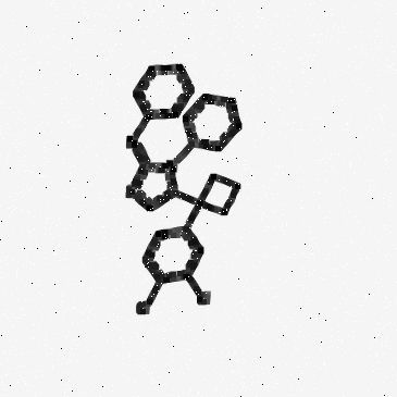 Clc1ccc(C2(c3cs/c(=N/c4ccccc4)n3-c3ccccc3)CCC2)cc1Cl